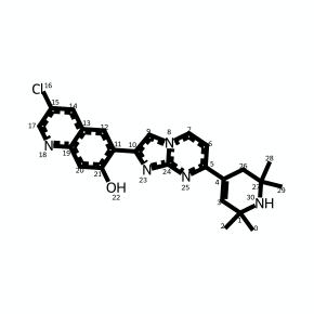 CC1(C)C=C(c2ccn3cc(-c4cc5cc(Cl)cnc5cc4O)nc3n2)CC(C)(C)N1